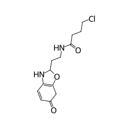 O=C1C=CC2=C(C1)OC(CCNC(=O)CCCCl)N2